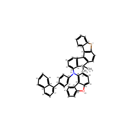 C[Si]1(C)c2ccc3sc4ccccc4c3c2-c2cccc(N(c3ccc(-c4cccc5ccccc45)cc3)c3cccc4oc5ccccc5c34)c21